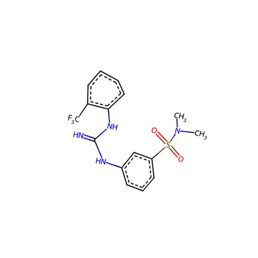 CN(C)S(=O)(=O)c1cccc(NC(=N)Nc2ccccc2C(F)(F)F)c1